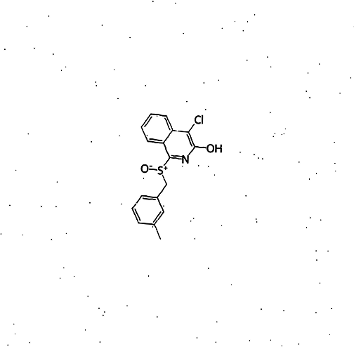 Cc1cccc(C[S+]([O-])c2nc(O)c(Cl)c3ccccc23)c1